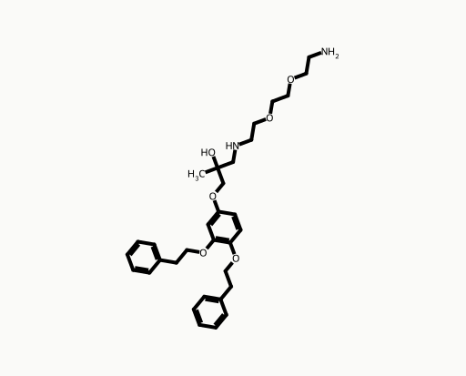 CC(O)(CNCCOCCOCCN)COc1ccc(OCCc2ccccc2)c(OCCc2ccccc2)c1